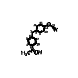 CN(O)c1ccc(Cc2ccc(OC#N)cc2)cc1